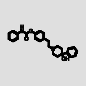 O=C(Nc1ccccc1)Oc1ccc(CCN2CCC(O)(c3ccccc3)CC2)cc1